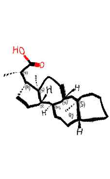 C[C@H](C(=O)O)[C@H]1CC[C@H]2[C@@H]3CC[C@H]4CCCC[C@]4(C)[C@H]3CC[C@]12C